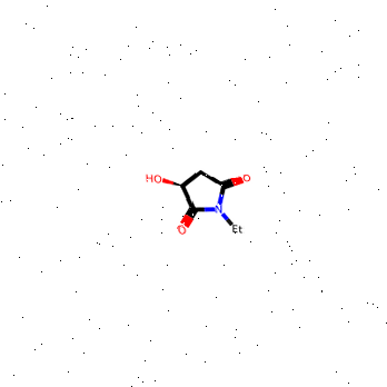 CCN1C(=O)C[C@H](O)C1=O